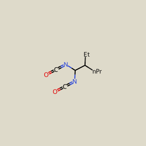 CCCC(CC)C(N=C=O)N=C=O